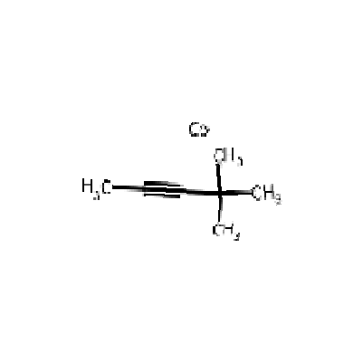 CC#CC(C)(C)C.[Co]